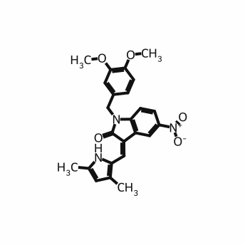 COc1ccc(CN2C(=O)C(=Cc3[nH]c(C)cc3C)c3cc([N+](=O)[O-])ccc32)cc1OC